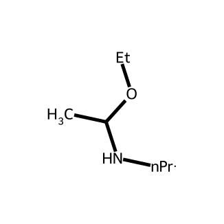 CC[CH]NC(C)OCC